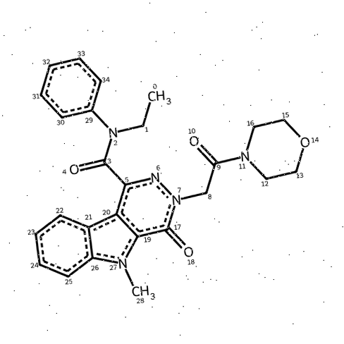 CCN(C(=O)c1nn(CC(=O)N2CCOCC2)c(=O)c2c1c1ccccc1n2C)c1ccccc1